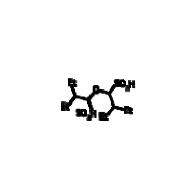 CCC(CC)C(OC(C(CC)CC)S(=O)(=O)O)S(=O)(=O)O